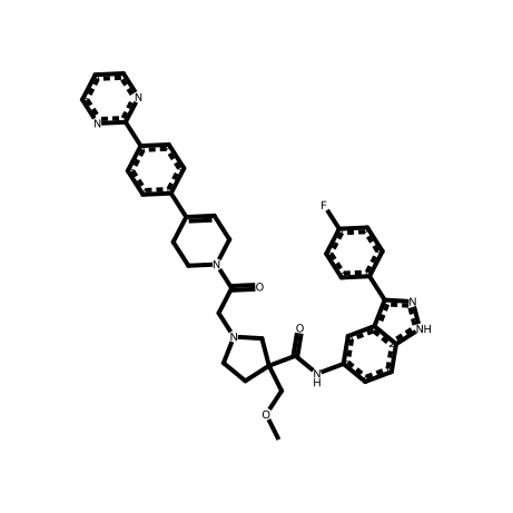 COCC1(C(=O)Nc2ccc3[nH]nc(-c4ccc(F)cc4)c3c2)CCN(CC(=O)N2CC=C(c3ccc(-c4ncccn4)cc3)CC2)C1